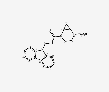 O=C(O)N1CCN(C(=O)OCC2c3ccccc3-c3ccccc32)C2CC21